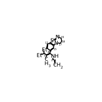 C=CCNC(=C(C)C(CC)CC)c1ccc2c(c1)N1CCCN=C1S2